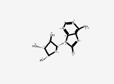 CC(C)[C@H]1O[C@@H](n2c(Cl)nc3c(N)ncnc32)C(O)[C@H]1O